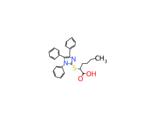 CCCCC(Sc1nc(-c2ccccc2)c(-c2ccccc2)n1-c1ccccc1)C(=O)O